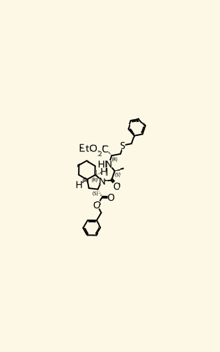 CCOC(=O)[C@H](CSCc1ccccc1)N[C@@H](C)C(=O)N1[C@@H]2CCCC[C@@H]2C[C@H]1C(=O)OCc1ccccc1